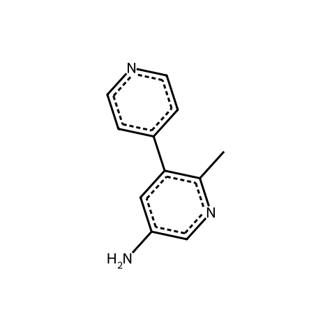 Cc1ncc(N)cc1-c1ccncc1